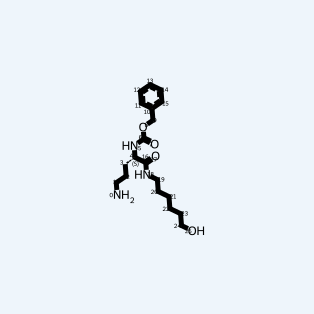 NCCC[C@H](NC(=O)OCc1ccccc1)C(=O)NCCCCCCO